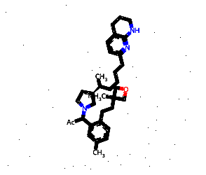 CC(=O)C(c1cc(C)ccc1CCC1(C)COC1)N1CC[C@@H](C(C)CCCCc2ccc3c(n2)NCCC3)C1